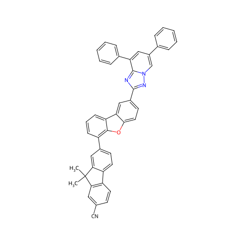 CC1(C)c2cc(C#N)ccc2-c2ccc(-c3cccc4c3oc3ccc(-c5nc6c(-c7ccccc7)cc(-c7ccccc7)cn6n5)cc34)cc21